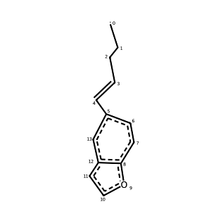 [CH2]CCC=Cc1ccc2occc2c1